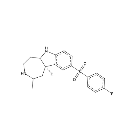 CC1C[C@@H]2c3cc(S(=O)(=O)c4ccc(F)cc4)ccc3NC2CCN1